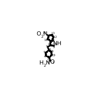 NC(=O)c1ccc(Cc2c[nH]c3ccc([N+](=O)[O-])cc23)cc1